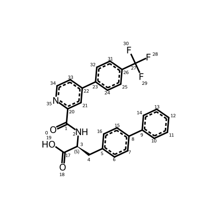 O=C(N[C@@H](Cc1ccc(-c2ccccc2)cc1)C(=O)O)c1cc(-c2ccc(C(F)(F)F)cc2)ccn1